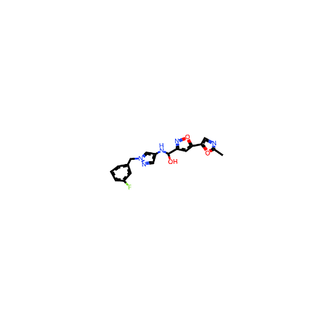 Cc1ncc(-c2cc(C(O)Nc3cnn(Cc4cccc(F)c4)c3)no2)o1